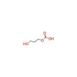 O=C(O)OCCCO